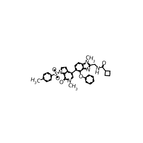 Cc1ccc(S(=O)(=O)n2ccc3c(-c4ccc5c(nc(CNC(=O)C6CCC6)n5C)c4Oc4ccccc4)cn(C)c(=O)c32)cc1